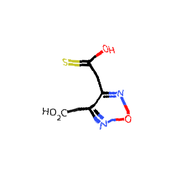 O=C(O)c1nonc1C(O)=S